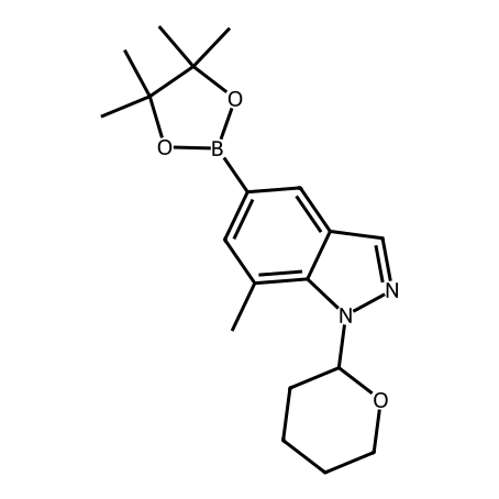 Cc1cc(B2OC(C)(C)C(C)(C)O2)cc2cnn(C3CCCCO3)c12